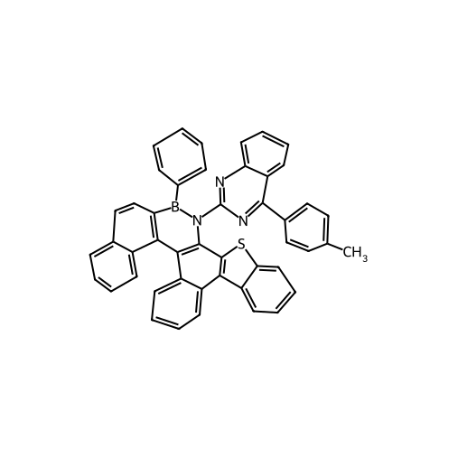 Cc1ccc(-c2nc(N3B(c4ccccc4)c4ccc5ccccc5c4-c4c3c3sc5ccccc5c3c3ccccc43)nc3ccccc23)cc1